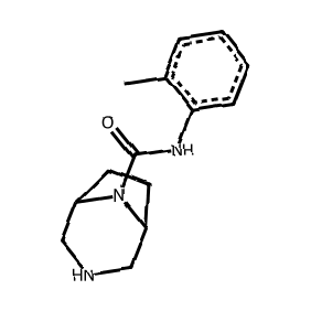 Cc1ccccc1NC(=O)N1C2CCC1CNC2